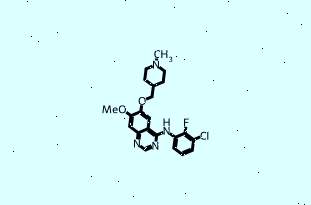 COc1cc2ncnc(Nc3cccc(Cl)c3F)c2cc1OCC1CCN(C)CC1